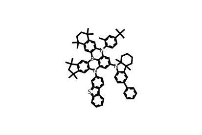 Cc1cc(C(C)(C)C)ccc1N1c2cc3c(cc2B2c4cc5c(cc4N(c4ccc6c(c4)sc4ccccc46)c4cc(N6c7ccc(-c8ccccc8)cc7C7(C)CCCCC67C)cc1c42)C(C)(C)CC5(C)C)C(C)(C)CCC3(C)C